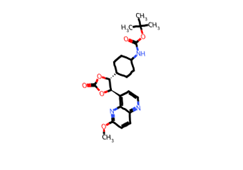 COc1ccc2nccc([C@H]3OC(=O)O[C@@H]3C3CCC(NC(=O)OC(C)(C)C)CC3)c2n1